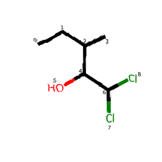 CCC(C)C(O)C(Cl)Cl